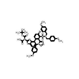 COc1ccc(CN(Cc2ccc(OC)cc2)S(=O)(=O)c2c(Br)ccc(-c3cccc4sc(N(C(=O)O)C(=O)OC(C)(C)C)nc34)c2-c2nnnn2Cc2ccc(OC)cc2)cc1